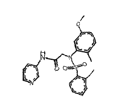 COc1ccc(C)c(N(CC(=O)Nc2cccnc2)S(=O)(=O)c2ccccc2C)c1